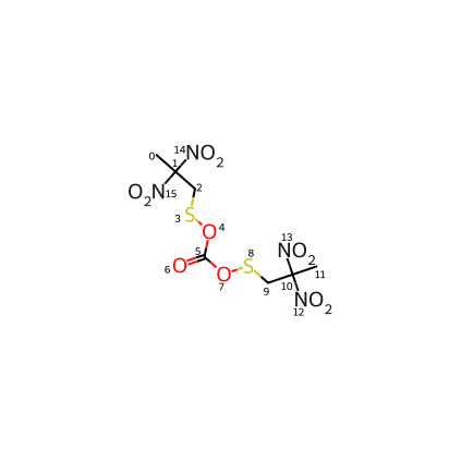 CC(CSOC(=O)OSCC(C)([N+](=O)[O-])[N+](=O)[O-])([N+](=O)[O-])[N+](=O)[O-]